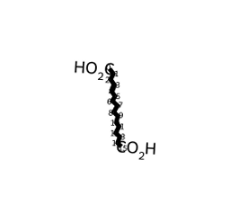 O=C(O)CC/C=C/CCCCCCCCCCC(=O)O